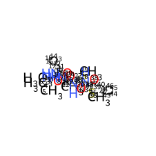 CN[C@@H](CC(C)C)C(=O)N[C@@H](Cc1ccccc1)C(=O)N[C@@H](C)C(=O)N[C@@H](CSC)C(=O)N[C@@H](CSC)C(=O)CCc1ccccc1